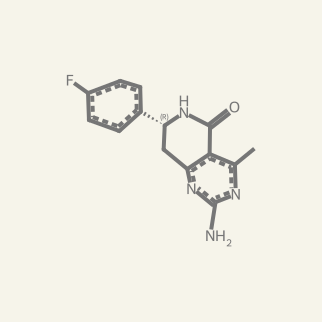 Cc1nc(N)nc2c1C(=O)N[C@@H](c1ccc(F)cc1)C2